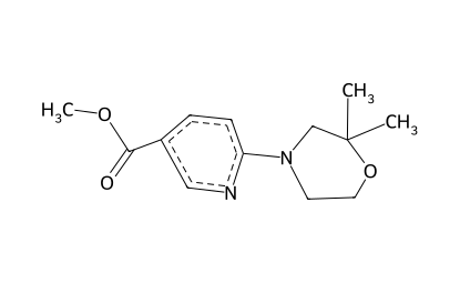 COC(=O)c1ccc(N2CCOC(C)(C)C2)nc1